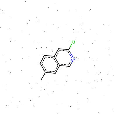 Cc1ccc2cc(Cl)ncc2c1